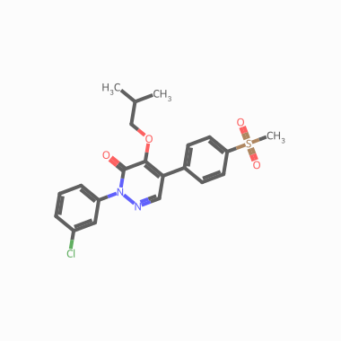 CC(C)COc1c(-c2ccc(S(C)(=O)=O)cc2)cnn(-c2cccc(Cl)c2)c1=O